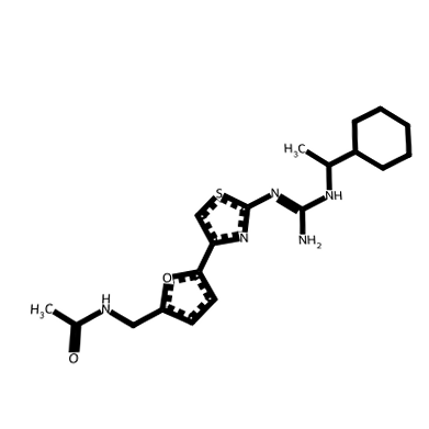 CC(=O)NCc1ccc(-c2csc(N=C(N)NC(C)C3CCCCC3)n2)o1